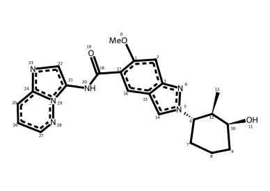 COc1cc2nn([C@H]3CCC[C@H](O)[C@@H]3C)cc2cc1C(=O)Nc1cnc2cccnn12